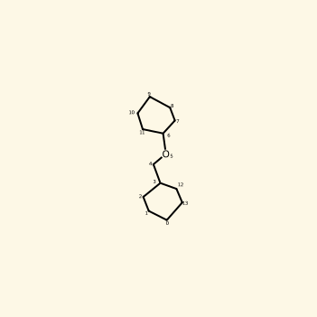 C1CCC(COC2CCCCC2)CC1